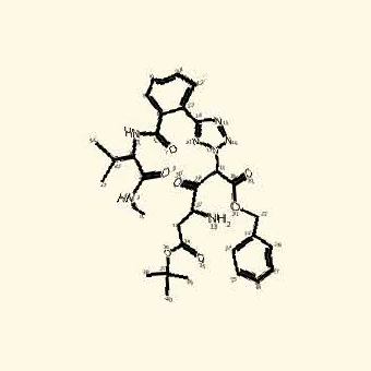 CNC(=O)C(NC(=O)c1ccccc1-c1nnn(C(C(=O)OCc2ccccc2)C(=O)C(N)CC(=O)OC(C)(C)C)n1)C(C)C